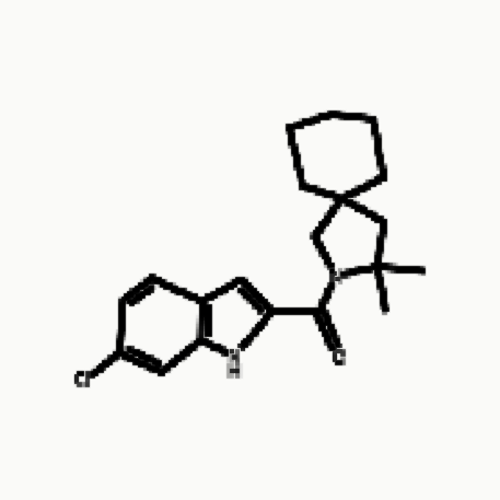 CC1(C)CC2(CCCCC2)CN1C(=O)c1cc2ccc(Cl)cc2[nH]1